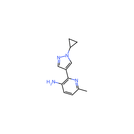 Cc1ccc(N)c(-c2cnn(C3CC3)c2)n1